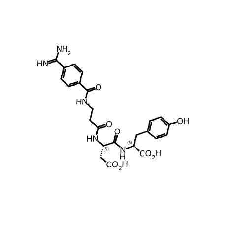 N=C(N)c1ccc(C(=O)NCCC(=O)N[C@@H](CC(=O)O)C(=O)N[C@@H](Cc2ccc(O)cc2)C(=O)O)cc1